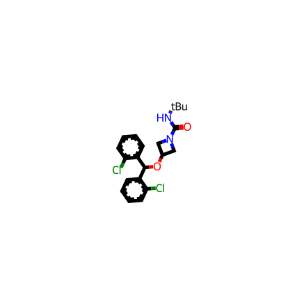 CC(C)(C)NC(=O)N1CC(OC(c2ccccc2Cl)c2ccccc2Cl)C1